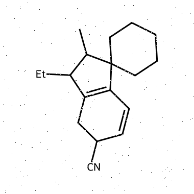 CCC1C2=C(C=CC(C#N)C2)C2(CCCCC2)C1C